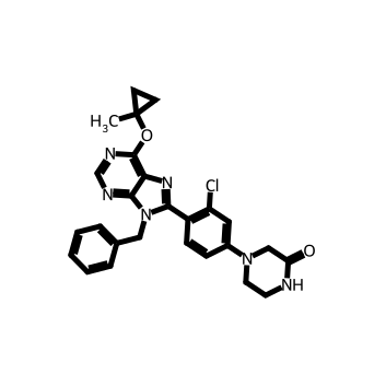 CC1(Oc2ncnc3c2nc(-c2ccc(N4CCNC(=O)C4)cc2Cl)n3Cc2ccccc2)CC1